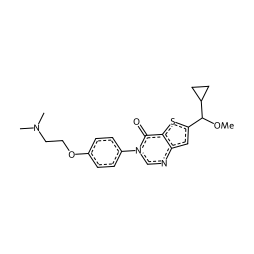 COC(c1cc2ncn(-c3ccc(OCCN(C)C)cc3)c(=O)c2s1)C1CC1